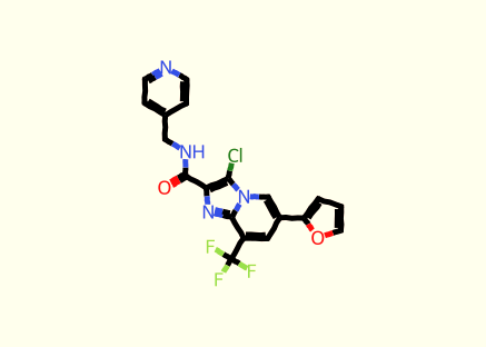 O=C(NCc1ccncc1)c1nc2c(C(F)(F)F)cc(-c3ccco3)cn2c1Cl